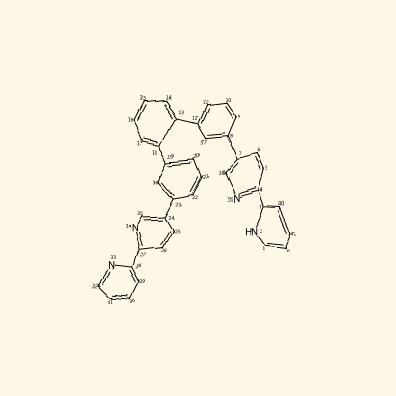 C1=CNC(c2ccc(-c3cccc(-c4ccccc4-c4cccc(-c5ccc(-c6ccccn6)nc5)c4)c3)cn2)C=C1